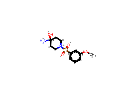 COc1cccc(S(=O)(=O)N2CCC(N)(O)CC2)c1